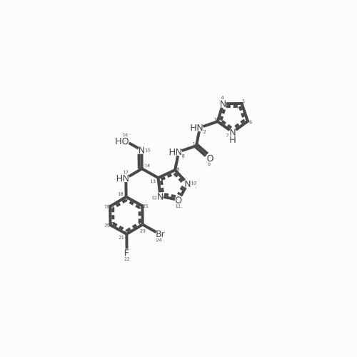 O=C(Nc1ncc[nH]1)Nc1nonc1/C(=N/O)Nc1ccc(F)c(Br)c1